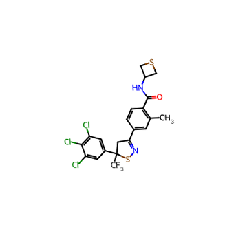 Cc1cc(C2=NSC(c3cc(Cl)c(Cl)c(Cl)c3)(C(F)(F)F)C2)ccc1C(=O)NC1CSC1